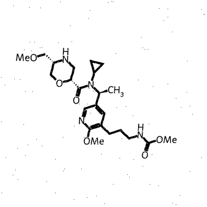 COC[C@H]1CO[C@@H](C(=O)N(C2CC2)[C@@H](C)c2cnc(OC)c(CCCNC(=O)OC)c2)CN1